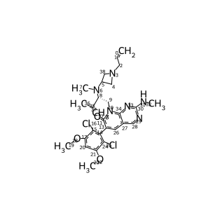 C=CCN1CC(N(C)[C@H](Cn2c(=O)c(-c3c(Cl)c(OC)cc(OC)c3Cl)cc3cnc(NC)nc32)C(C)C)C1